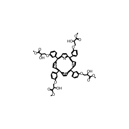 COC(=O)C(O)COc1cccc(C2=C3C=CC(=N3)C(c3cccc(OCC(O)C(=O)OC)c3)=C3C=CC(=N3)C(c3cccc(OCC(O)C(=O)OC)c3)=C3C=CC(=N3)C(c3cccc(OCC(O)C(=O)OC)c3)=C3C=CC2=N3)c1